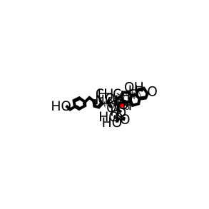 Cn1c(Cc2ccc(CO)cc2)ccc1[C@@H]1O[C@@H]2C[C@H]3[C@@H]4CCC5=CC(=O)C=C[C@]5(C)[C@H]4[C@@H](O)C[C@]3(C)[C@]2(C(=O)COP(=O)(O)O)O1